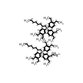 CCCCCCCC[B-](c1ccc(CC)c(CC)c1)(c1ccc(CC)c(CC)c1)c1ccc(CC)c(CC)c1.CCCCCCCC[B-](c1ccc(CC)c(CC)c1)(c1ccc(CC)c(CC)c1)c1ccc(CC)c(CC)c1.[Mg+2]